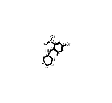 O=[N+]([O-])c1cc(Br)cc(F)c1NC1CCCOC1